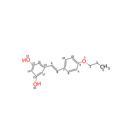 CCCOc1ccc(C=Cc2cc(O)cc(O)c2)cc1